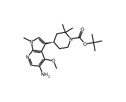 COc1c(N)cnc2c1c([C@@H]1CCN(C(=O)OC(C)(C)C)C(C)(C)C1)cn2C